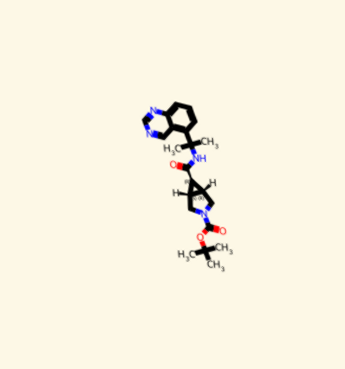 CC(C)(C)OC(=O)N1C[C@@H]2[C@H](C1)[C@H]2C(=O)NC(C)(C)c1cccc2ncncc12